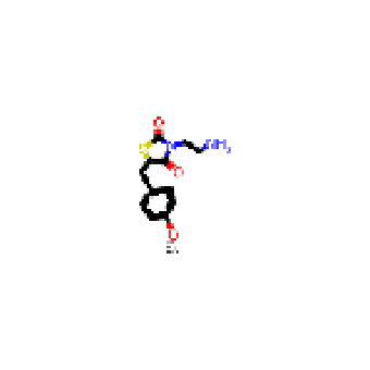 CCOc1ccc(CC2SC(=O)N(CCN)C2=O)cc1